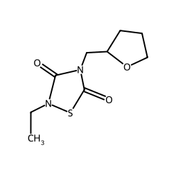 CCn1sc(=O)n(CC2CCCO2)c1=O